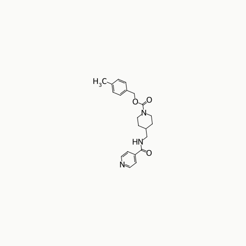 Cc1ccc(COC(=O)N2CCC(CNC(=O)c3ccncc3)CC2)cc1